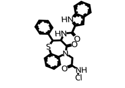 O=C(CN1C(=O)C(NC(=O)c2cc3ccccc3[nH]2)C(c2ccccc2)Sc2ccccc21)NCl